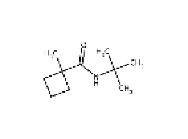 CC(C)(C)NC(=O)C1(C)CCC1